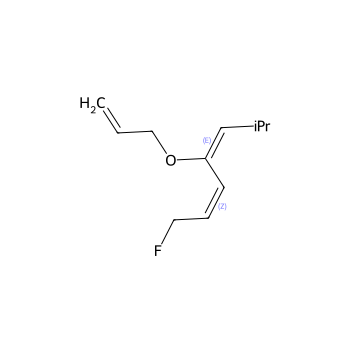 C=CCOC(/C=C\CF)=C/C(C)C